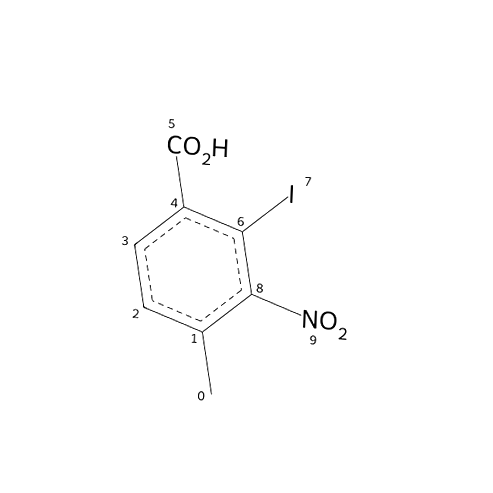 Cc1ccc(C(=O)O)c(I)c1[N+](=O)[O-]